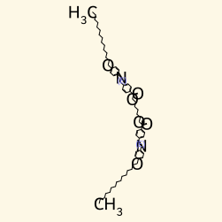 CCCCCCCCCCCCCCOc1ccc(/N=C/c2ccc(C(=O)OCCCCCOC(=O)c3ccc(/C=N/c4ccc(OCCCCCCCCCCCCCC)cc4)cc3)cc2)cc1